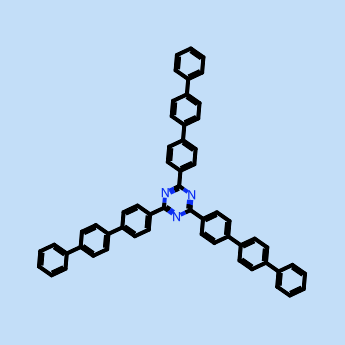 c1ccc(-c2ccc(-c3ccc(-c4nc(-c5ccc(-c6ccc(-c7ccccc7)cc6)cc5)nc(-c5ccc(-c6ccc(-c7ccccc7)cc6)cc5)n4)cc3)cc2)cc1